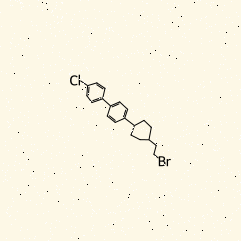 Clc1ccc(-c2ccc(C3CCC(CCBr)CC3)cc2)cc1